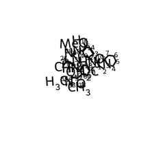 C=C(CN1CCCCC1)C(=O)Nc1ccc(OC)c(Nc2ncc(Cl)c(Nc3ccccc3C(=O)C(=O)N(C)C)n2)c1